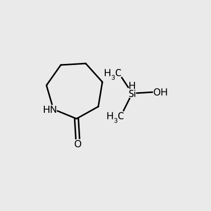 C[SiH](C)O.O=C1CCCCCN1